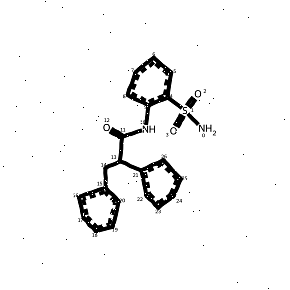 NS(=O)(=O)c1ccccc1NC(=O)C(Cc1ccccc1)c1ccccc1